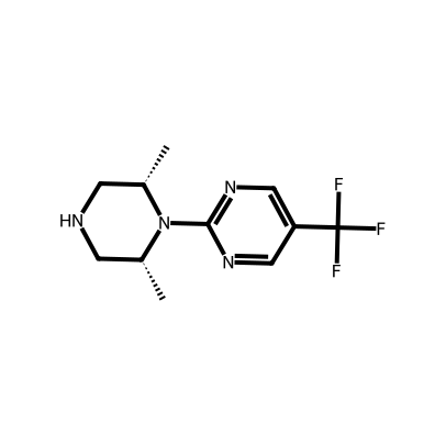 C[C@@H]1CNC[C@H](C)N1c1ncc(C(F)(F)F)cn1